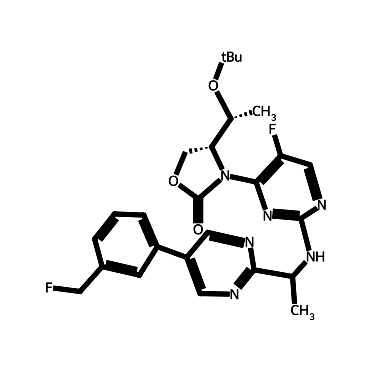 CC(Nc1ncc(F)c(N2C(=O)OC[C@@H]2[C@@H](C)OC(C)(C)C)n1)c1ncc(-c2cccc(CF)c2)cn1